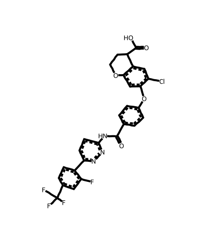 O=C(Nc1ccc(-c2ccc(C(F)(F)F)cc2F)nn1)c1ccc(Oc2cc3c(cc2Cl)C(C(=O)O)CCO3)cc1